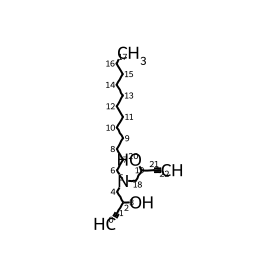 C#CC(O)CN(CCCCCCCCCCCC)CC(O)C#C